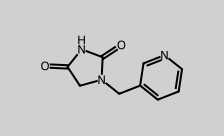 O=C1CN(Cc2cccnc2)C(=O)N1